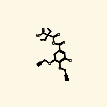 C#CCOc1cc(C(=O)OC(=O)C(CC)(CC)C(=O)O)cc(Cl)c1OCC#C